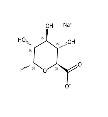 O=C([O-])[C@H]1O[C@H](F)[C@H](O)[C@@H](O)[C@@H]1O.[Na+]